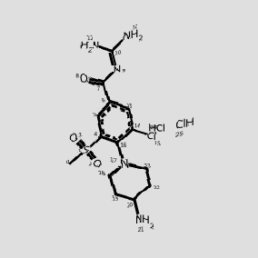 CS(=O)(=O)c1cc(C(=O)N=C(N)N)cc(Cl)c1N1CCC(N)CC1.Cl.Cl